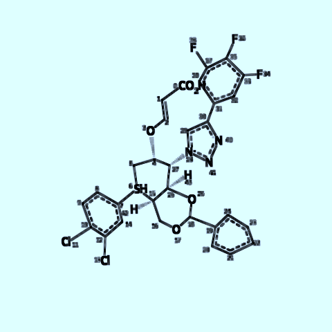 O=C(O)/C=C/O[C@H]1C[SH](c2ccc(Cl)c(Cl)c2)[C@@H]2COC(c3ccccc3)O[C@@H]2[C@H]1n1cc(-c2cc(F)c(F)c(F)c2)nn1